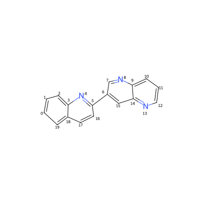 c1ccc2nc(-c3cnc4cccnc4c3)ccc2c1